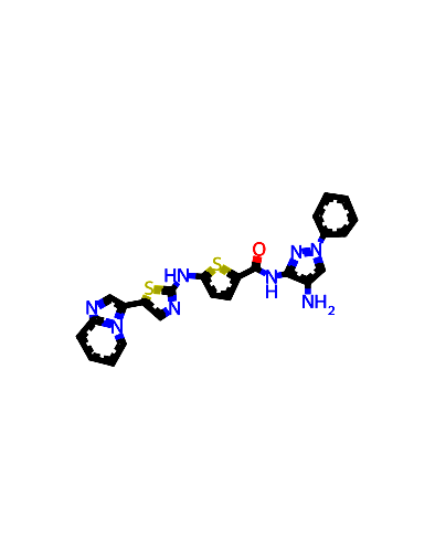 Nc1cn(-c2ccccc2)nc1NC(=O)c1ccc(Nc2ncc(-c3cnc4ccccn34)s2)s1